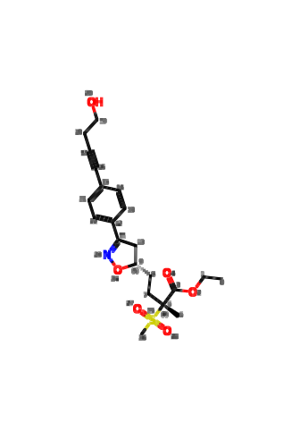 CCOC(=O)[C@@](C)(CC[C@H]1CC(c2ccc(C#CCCO)cc2)=NO1)S(C)(=O)=O